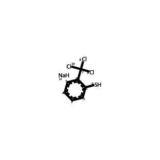 Sc1ccccc1C(Cl)(Cl)Cl.[NaH]